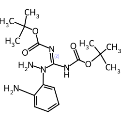 CC(C)(C)OC(=O)/N=C(/NC(=O)OC(C)(C)C)N(N)c1ccccc1N